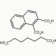 O=C(O)CCCCCC(=O)O.O=C(O)c1ccc2ccccc2c1C(=O)O